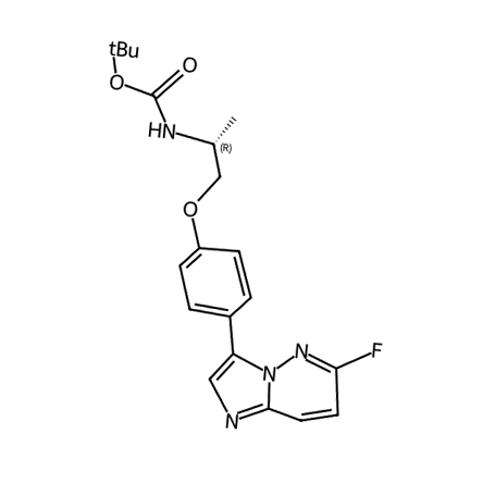 C[C@H](COc1ccc(-c2cnc3ccc(F)nn23)cc1)NC(=O)OC(C)(C)C